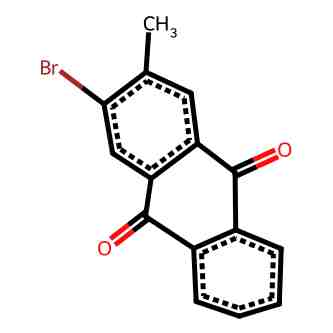 Cc1cc2c(cc1Br)C(=O)c1ccccc1C2=O